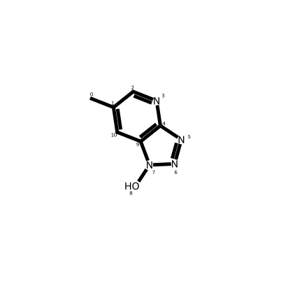 Cc1cnc2nnn(O)c2c1